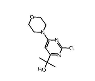 CC(C)(O)c1cc(N2CCOCC2)nc(Cl)n1